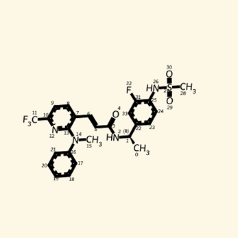 C[C@@H](NC(=O)C=Cc1ccc(C(F)(F)F)nc1N(C)c1ccccc1)c1ccc(NS(C)(=O)=O)c(F)c1